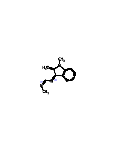 C=C1/C(=N\C=N/C)c2ccccc2N1C